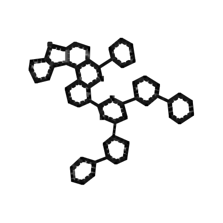 c1ccc(-c2cccc(-c3cc(-c4cccc(-c5ccccc5)c4)nc(-c4cccc5c4nc(-c4ccccc4)c4ccc6oc7ccccc7c6c45)n3)c2)cc1